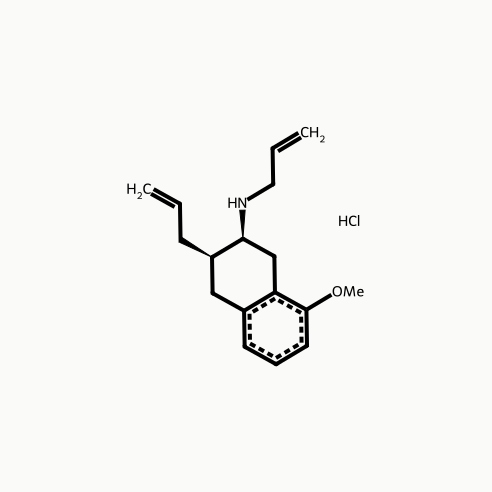 C=CCN[C@H]1Cc2c(cccc2OC)C[C@H]1CC=C.Cl